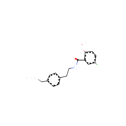 CCOc1ccc(Cl)cc1C(=O)NCCc1ccc(CC(=O)O)cc1